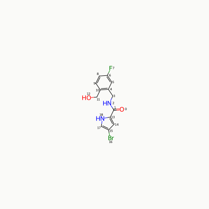 O=C(NCc1cc(F)ccc1CO)c1cc(Br)c[nH]1